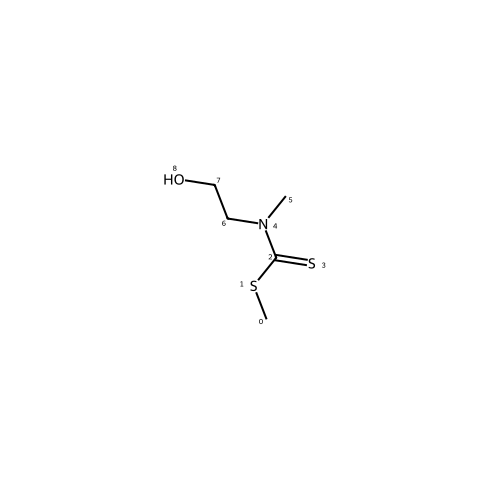 CSC(=S)N(C)CCO